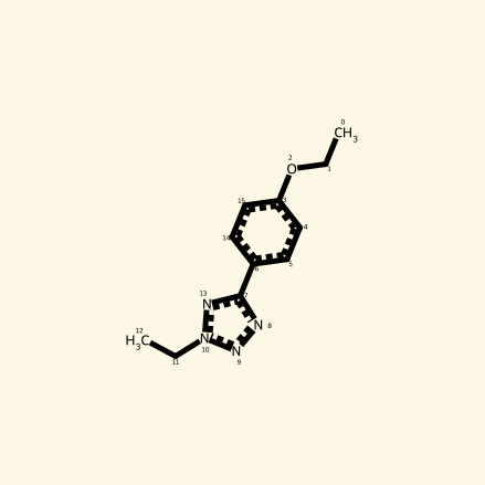 CCOc1ccc(-c2nnn(CC)n2)cc1